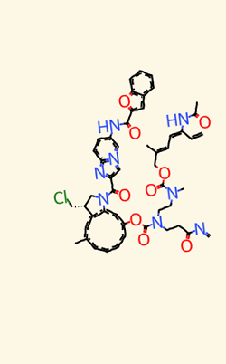 C=C/C(=C\C=C(/C)COC(=O)N(C)CCN(CCC(=O)N=C)C(=O)Oc1ccccc(C)cc2c(c1)N(C(=O)c1cn3cc(NC(=O)c4cc5ccccc5o4)ccc3n1)C[C@H]2CCl)NC(C)=O